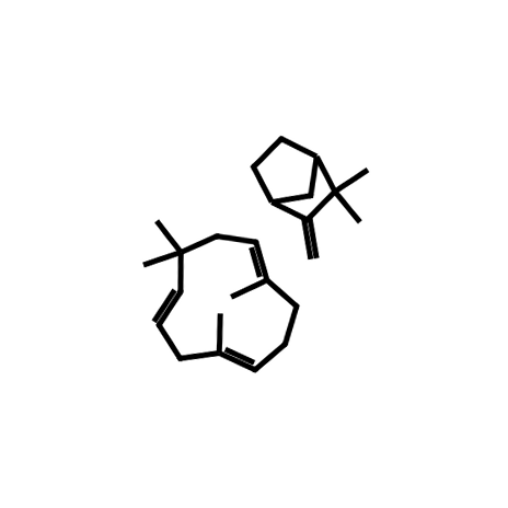 C/C1=C\CC/C(C)=C/CC(C)(C)/C=C/C1.C=C1C2CCC(C2)C1(C)C